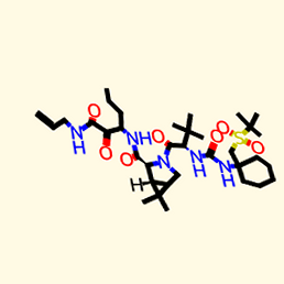 C=CCNC(=O)C(=O)C(CCC)NC(=O)[C@@H]1[C@@H]2C(CN1C(=O)[C@@H](NC(=O)NC1(CS(=O)(=O)C(C)(C)C)CCCCC1)C(C)(C)C)C2(C)C